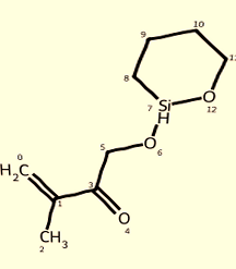 C=C(C)C(=O)CO[SiH]1CCCCO1